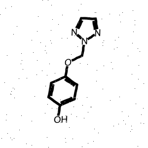 Oc1ccc(OCn2nccn2)cc1